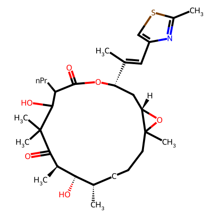 CCCC1C(=O)O[C@H](/C(C)=C/c2csc(C)n2)C[C@@H]2OC2(C)CCC[C@H](C)[C@H](O)[C@@H](C)C(=O)C(C)(C)C1O